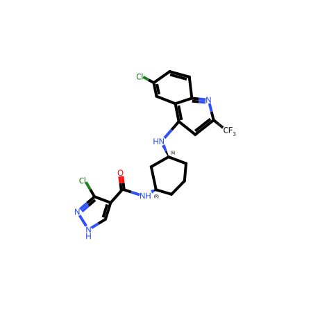 O=C(N[C@@H]1CCC[C@H](Nc2cc(C(F)(F)F)nc3ccc(Cl)cc23)C1)c1c[nH]nc1Cl